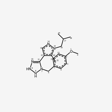 COc1ccc(CN2NNN=C2c2cnn(CC(C)C)c2I)cc1